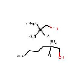 CCCCCCCC(CO)(CCC)[N+](=O)[O-].CCCCCCCCCCCCCC(CC)(CO)[N+](=O)[O-]